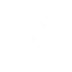 Cc1sc2c(c1C(=O)Nc1ccc(C(F)(F)F)nc1)CCC2